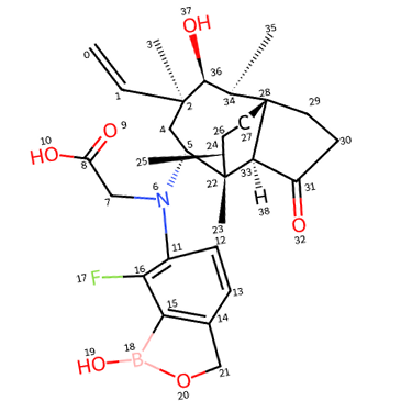 C=C[C@]1(C)C[C@@H](N(CC(=O)O)c2ccc3c(c2F)B(O)OC3)[C@]2(C)[C@H](C)CC[C@]3(CCC(=O)[C@H]32)[C@@H](C)[C@@H]1O